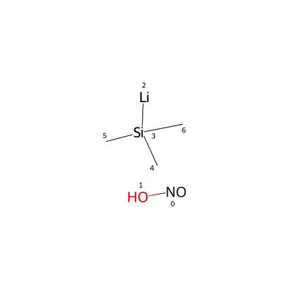 O=NO.[Li][Si](C)(C)C